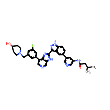 CC(C)CC(=O)Nc1cncc(-c2ccc3[nH]nc(-c4nc5c(-c6cc(F)cc(CN7CCC(O)CC7)c6)cncc5[nH]4)c3c2)c1